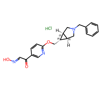 Cl.O=C(C=NO)c1ccc(OC[C@@H]2[C@H]3CN(Cc4ccccc4)C[C@@H]23)nc1